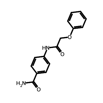 NC(=O)c1ccc(NC(=O)COc2ccccc2)cc1